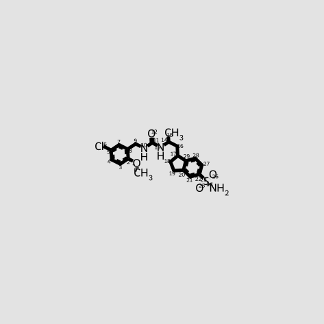 COc1ccc(Cl)cc1CNC(=O)NC(C)CC1CCc2cc(S(N)(=O)=O)ccc21